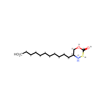 O=C(O)CCCCCCCCCCC1COC(=O)SN1